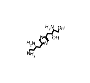 NCC[C@H](N)Cc1cnc(C[C@H](O)[C@@H](N)CO)cn1